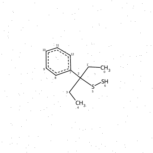 CCC(CC)(SS)c1ccccc1